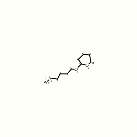 CC(C)NCCCCOC1CCCCO1